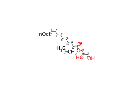 C=CC.CCCCCCCC/C=C\CCCCCCCC(=O)OCC(O)CO